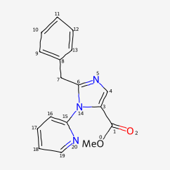 COC(=O)c1cnc(Cc2ccccc2)n1-c1ccccn1